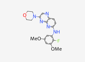 COc1cc(Nc2ccc3ncc(N4CCOCC4)nc3n2)c(F)c(OC)c1